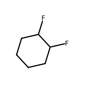 FC1C[CH]CCC1F